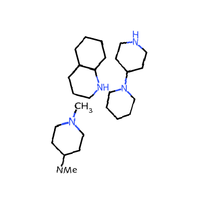 C1CCC2NCCCC2C1.C1CCN(C2CCNCC2)CC1.CNC1CCN(C)CC1